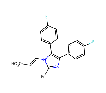 CC(C)c1nc(-c2ccc(F)cc2)c(-c2ccc(F)cc2)n1C=CC(=O)O